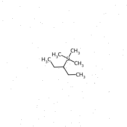 CC[C](CC)[Si](C)(C)C